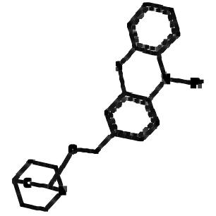 CC(C)N1c2ccccc2Sc2cc(COC3CC4CCN3CC4)ccc21